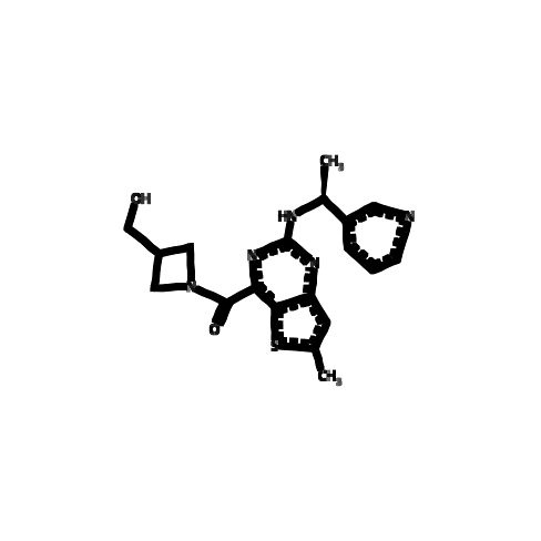 Cc1cc2nc(N[C@@H](C)c3cccnc3)nc(C(=O)N3CC(CO)C3)c2s1